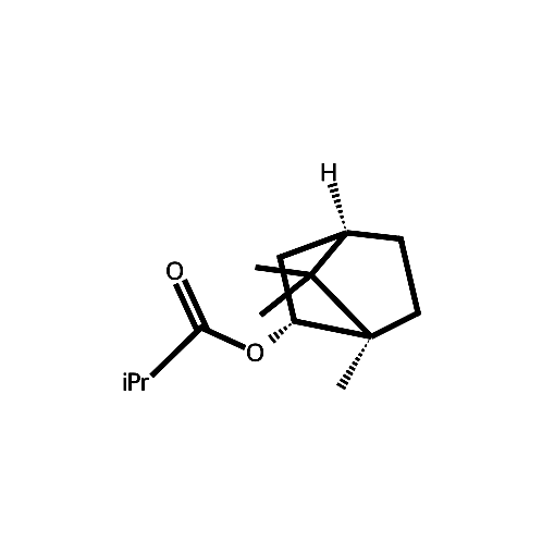 CC(C)C(=O)O[C@@H]1C[C@H]2CC[C@]1(C)C2(C)C